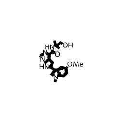 COc1ccc2c(c1)c(-c1cc3c(C(=O)NC(C)(C)CO)ncnc3[nH]1)cn2C